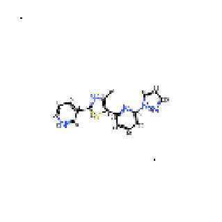 Cc1nc(-c2cccnc2)sc1-c1cccc(-n2cccn2)n1